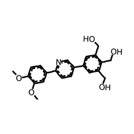 COc1ccc(-c2ccc(-c3cc(CO)c(CO)c(CO)c3)cn2)cc1OC